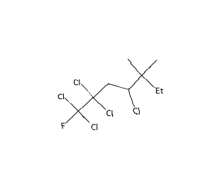 [CH2]CC(C)(C)C(Cl)CC(Cl)(Cl)C(F)(Cl)Cl